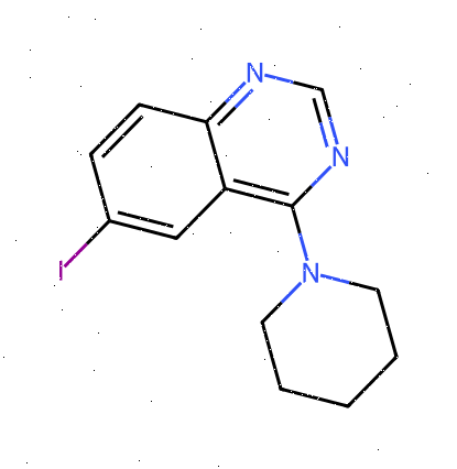 Ic1ccc2ncnc(N3CCCCC3)c2c1